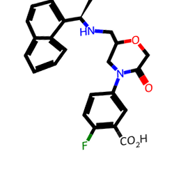 C[C@@H](NCC1CN(c2ccc(F)c(C(=O)O)c2)C(=O)CO1)c1cccc2ccccc12